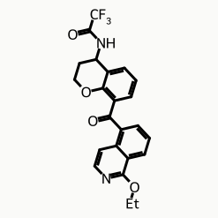 CCOc1nccc2c(C(=O)c3cccc4c3OCCC4NC(=O)C(F)(F)F)cccc12